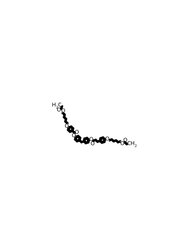 C=CC(=O)OCCCCCCOc1ccc(CCC(=O)Oc2ccc(Cc3ccc(OC(=O)c4ccc(OCCCCCCOC(=O)C=C)cc4)cc3)cc2)cc1